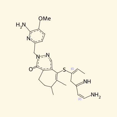 C/C=C(\CC(=N)/C=C\N)SC1=C(C)C(C)CCc2c1cnn(Cc1ccc(OC)c(N)n1)c2=O